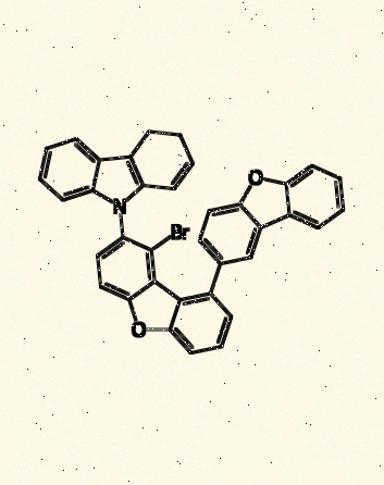 Brc1c(-n2c3c(c4ccccc42)CCC=C3)ccc2oc3cccc(-c4ccc5oc6ccccc6c5c4)c3c12